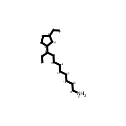 CCC1CCC(C(CC)CCCCCCCCN)C1